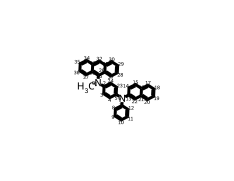 CN(c1ccc(N(c2ccccc2)c2ccc3ccccc3c2)cc1)c1c2ccccc2cc2ccccc12